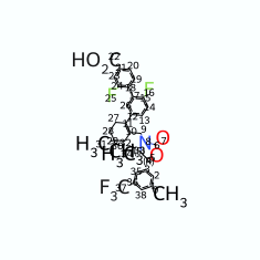 Cc1cc([C@H]2OC(=O)N(CC3=C(c4ccc(F)c(-c5ccc(C(=O)O)cc5F)c4)CCC(C)(C)C3)[C@H]2C)cc(C(F)(F)F)c1